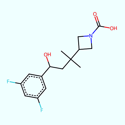 CC(C)(CC(O)c1cc(F)cc(F)c1)C1CN(C(=O)O)C1